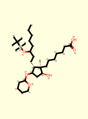 CCCCCC(CC[C@H]1C(OC2CCCCO2)C[C@H](O)[C@]1(C)CCCCCCC(=O)O)O[Si](C)(C)C(C)(C)C